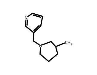 CC1CCCN(Cc2cccnc2)C1